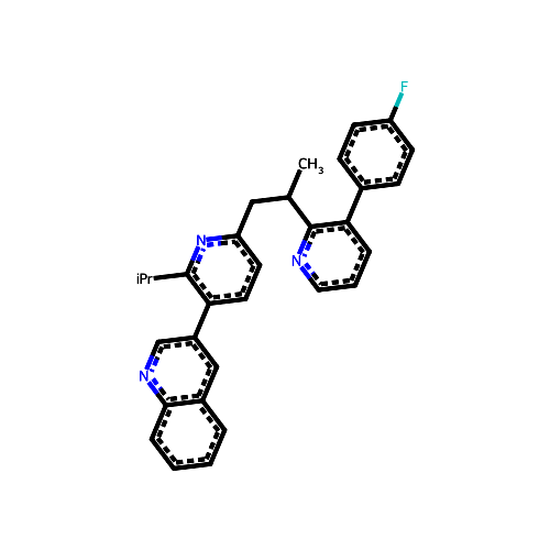 CC(C)c1nc(CC(C)c2ncccc2-c2ccc(F)cc2)ccc1-c1cnc2ccccc2c1